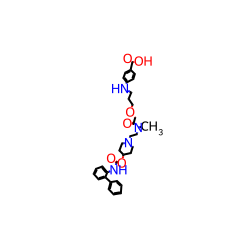 CN(CCN1CCC(OC(=O)Nc2ccccc2-c2ccccc2)CC1)C(=O)COCCCNc1ccc(C(=O)O)cc1